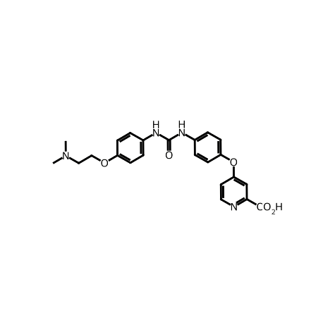 CN(C)CCOc1ccc(NC(=O)Nc2ccc(Oc3ccnc(C(=O)O)c3)cc2)cc1